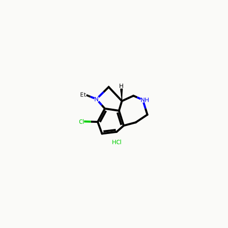 CCN1C[C@@H]2CNCCc3ccc(Cl)c1c32.Cl